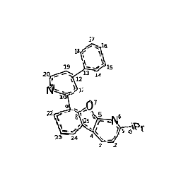 CC(C)c1ccc2c(n1)oc1c(-c3cc(-c4ccccc4)ccn3)cccc12